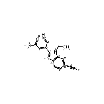 CCn1c(/C(C=N)=C/C(N)=O)nc2ccc(C#N)cc21